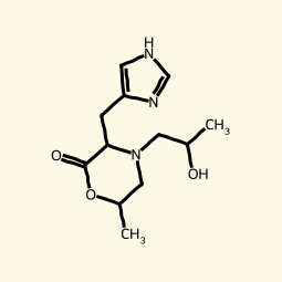 CC(O)CN1CC(C)OC(=O)C1Cc1c[nH]cn1